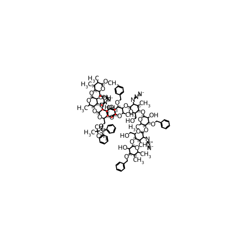 CO[C@H]1OC(CO)[C@@H](O[C@@H]2OC(C)[C@@H](O[C@@H]3OC(CO[Si](c4ccccc4)(c4ccccc4)C(C)(C)C)[C@@H](O[C@@H]4OC(C)C(O[C@@H]5OC(CO)[C@@H](O[C@@H]6OC(C)[C@@H](O[C@@H]7OC(CO)[C@@H](O[C@@H]8OC(C)[C@@H](C)[C@@H](OCc9ccccc9)C8O)[C@H](C)C7N=[N+]=[N-])[C@@H](OCc7ccccc7)C6O)[C@H](C)C5N=[N+]=[N-])[C@@H](OCc5ccccc5)C4O)[C@H](C)C3N=[N+]=[N-])[C@@H](OCc3ccccc3)C2O)[C@H](C)C1C